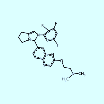 CN(C)CCOc1cnc2ccc(C3N4CCCC4=CN3c3cc(F)cc(F)c3F)cc2n1